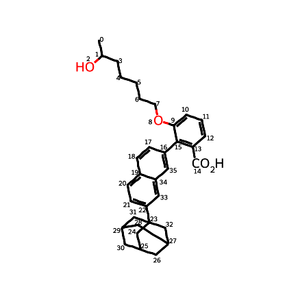 CC(O)CCCCCOc1cccc(C(=O)O)c1-c1ccc2ccc(C34CC5CC(CC(C5)C3)C4)cc2c1